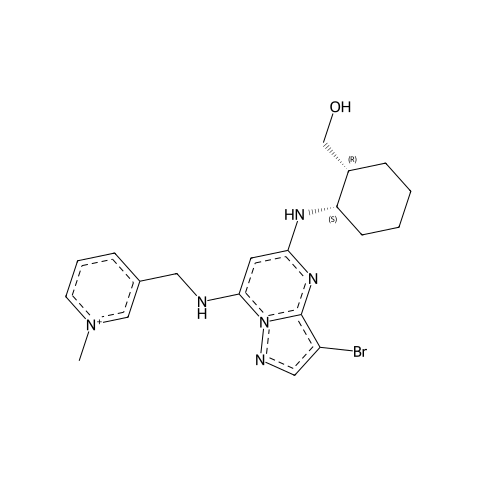 C[n+]1cccc(CNc2cc(N[C@H]3CCCC[C@H]3CO)nc3c(Br)cnn23)c1